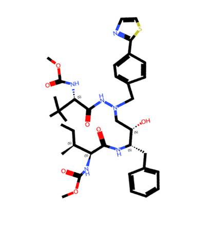 CC[C@H](C)[C@H](NC(=O)OC)C(=O)N[C@@H](Cc1ccccc1)[C@@H](O)CN(Cc1ccc(-c2nccs2)cc1)NC(=O)[C@@H](NC(=O)OC)C(C)(C)C